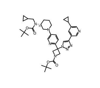 CC(C)(C)OC(=O)N1CC(c2ccc(N3CCC[C@@H](N(CC4CC4)C(=O)OC(C)(C)C)C3)cn2)(n2cc(-c3cncc(C4CC4)c3)nn2)C1